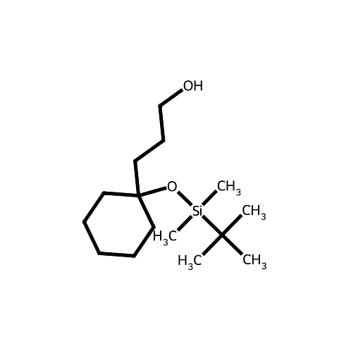 CC(C)(C)[Si](C)(C)OC1(CCCO)CCCCC1